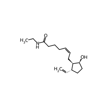 C=C[C@H]1CC[C@H](O)[C@@H]1C/C=C\CCCC(=O)NCC